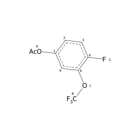 CC(=O)Oc1ccc(F)c(OC(F)(F)F)c1